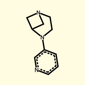 c1cncc(N2CCN3CC2C3)c1